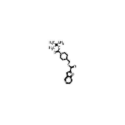 CC(C)(C)OC(=O)N1CCC(CSC(=O)c2cc3cnccc3o2)CC1